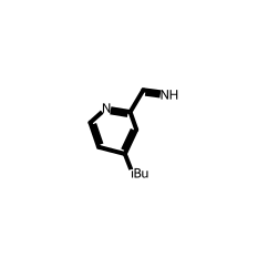 CCC(C)c1ccnc(C=N)c1